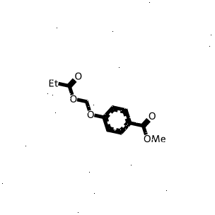 CCC(=O)OCOc1ccc(C(=O)OC)cc1